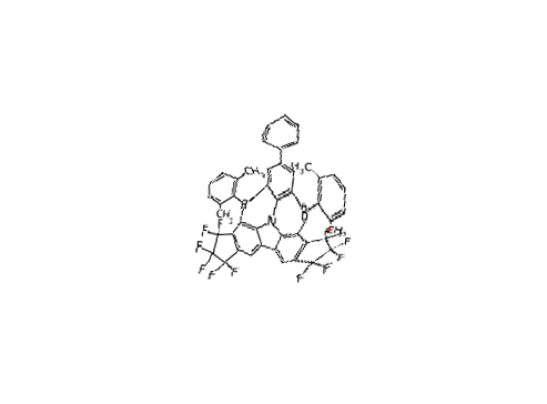 Cc1cccc(C)c1B1c2cc(-c3ccccc3)cc3c2-n2c4c1c1c(cc4c4cc5c(c(c42)B3c2c(C)cccc2C)C(F)(F)C(F)(F)C5(F)F)C(F)(F)C(F)(F)C1(F)F